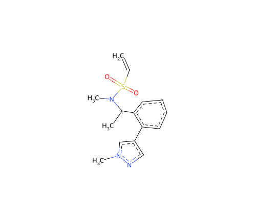 C=CS(=O)(=O)N(C)C(C)c1ccccc1-c1cnn(C)c1